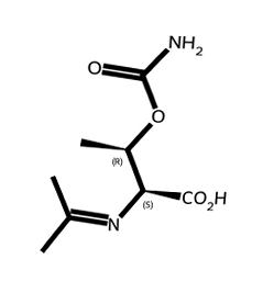 CC(C)=N[C@H](C(=O)O)[C@@H](C)OC(N)=O